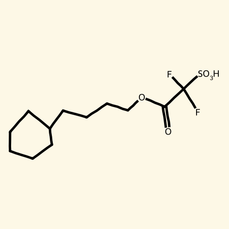 O=C(OCCCCC1CCCCC1)C(F)(F)S(=O)(=O)O